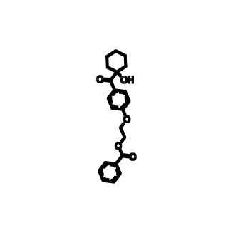 O=C(OCCOc1ccc(C(=O)C2(O)CCCCC2)cc1)c1ccccc1